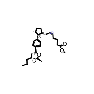 CCCCC[C@@H](OC(C)=O)c1ccc([C@H]2[CH]CC[C@@H]2C/C=C\CCCC(=O)OC)cc1